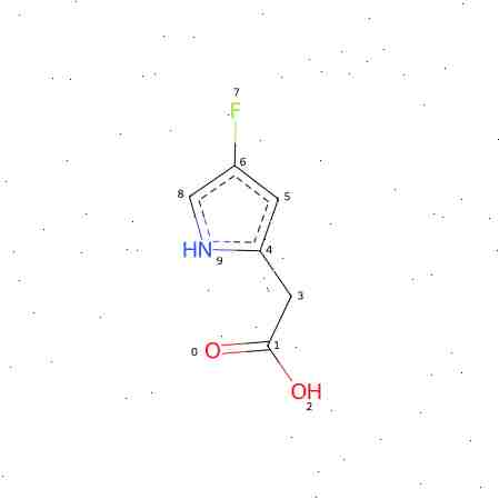 O=C(O)Cc1cc(F)c[nH]1